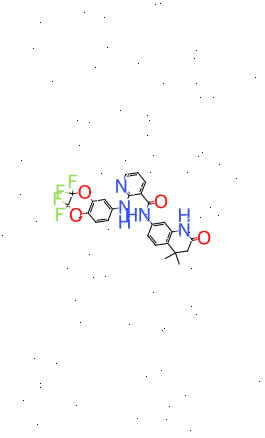 CC1(C)CC(=O)Nc2cc(NC(=O)c3cccnc3Nc3ccc4c(c3)OC(F)(F)C(F)(F)O4)ccc21